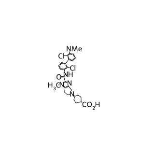 CNc1cccc(-c2cccc(NC(=O)c3nc4c(n3C)CCN(C3CCC(C(=O)O)CC3)C4)c2Cl)c1Cl